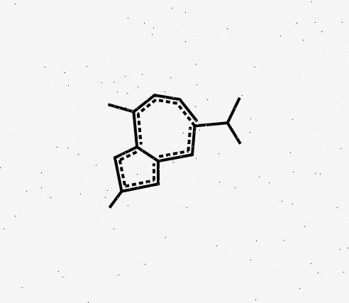 Cc1cc2cc(C(C)C)ccc(C)c-2c1